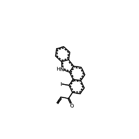 C=CC(=O)c1ccc2ccc3c4ccccc4[nH]c3c2c1I